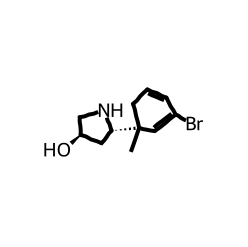 CC1([C@@H]2C[C@@H](O)CN2)C=C(Br)C=CC1